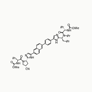 COC(=O)N[C@H](C(=O)N1C[C@@H](C#N)C[C@H]1c1ncc(-c2ccc3cc(-c4ccc(-c5cnc([C@H](CC(C)C)N(C(=O)[C@@H](NC(=O)OC)C(C)C)C(C)C)[nH]5)cc4)ccc3c2)[nH]1)C(C)C